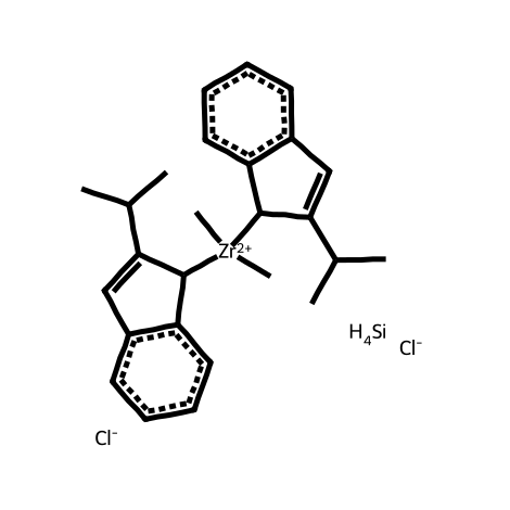 CC(C)C1=Cc2ccccc2[CH]1[Zr+2]([CH3])([CH3])[CH]1C(C(C)C)=Cc2ccccc21.[Cl-].[Cl-].[SiH4]